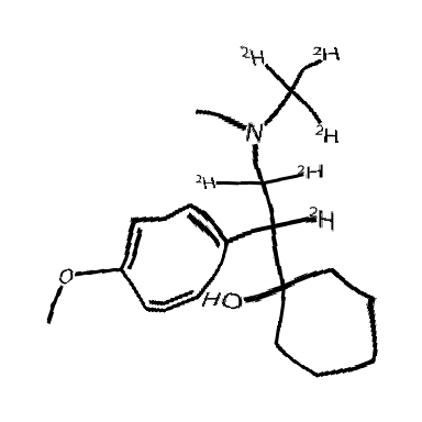 [2H]C([2H])([2H])N(C)C([2H])([2H])C([2H])(c1ccc(OC)cc1)C1(O)CCCCC1